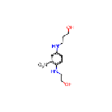 O=[N+]([O-])c1cc(NCCCO)ccc1NCCO